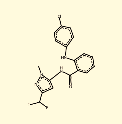 Cn1nc(C(F)F)cc1NC(=O)c1ccccc1Nc1ccc(Cl)cc1